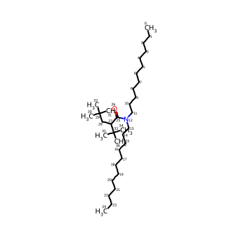 CCCCCCCCCCCCN(CCCCCCCCCCCC)C(=O)C(CC(C)(C)C)C(C)(C)C